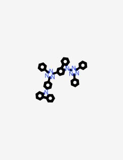 c1ccc(-c2nc(-c3ccc(-n4c5ccccc5c5ccccc54)cc3)nc(-c3ccc4c(c3)c3ccccc3n4-c3nc(-c4ccccc4)nc(-c4ccccc4)n3)n2)cc1